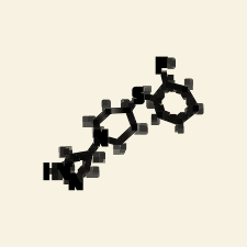 Fc1ccccc1SC1CCN(c2cn[nH]c2)CC1